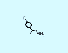 CC([CH2][AlH2])c1ccc(F)cc1